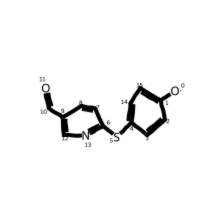 [O]c1ccc(Sc2ccc(C=O)cn2)cc1